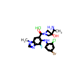 CC(N)C1(O)CN(C(=O)c2cc3c(ncn3C)c(F)c2Nc2ccc(Br)cc2Cl)C1.Cl